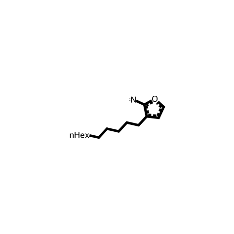 CCCCCCCCCCCc1ccoc1[N]